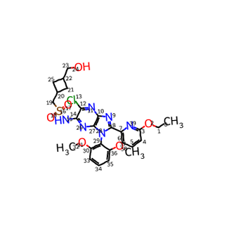 CCOc1cccc(-c2nc3nc(Cl)c(NS(=O)(=O)CC4CC(CO)C4)nc3n2-c2c(OC)cccc2OC)n1